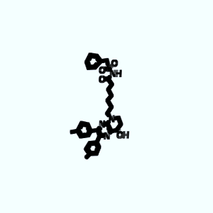 Cc1ccc(-c2nc3c(nc2-c2ccc(C)cc2)N(CCCCCCC(=O)NS(=O)(=O)Cc2ccccc2)CC[C@H]3O)cc1